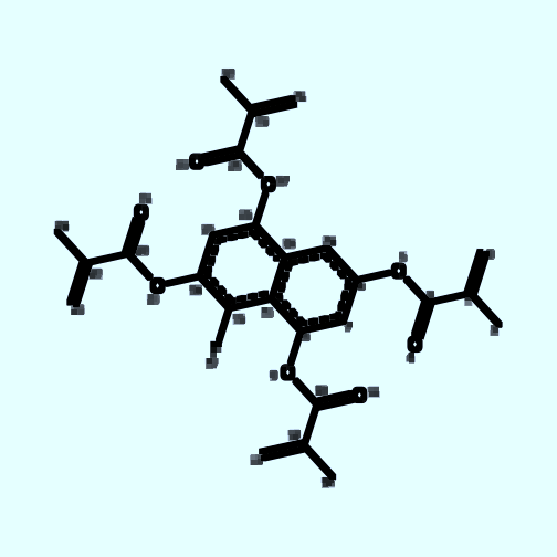 C=C(C)C(=O)Oc1cc(OC(=O)C(=C)C)c2c(F)c(OC(=O)C(=C)C)cc(OC(=O)C(=C)C)c2c1